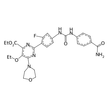 CCOC(=O)c1nc(-c2ccc(NC(=O)Nc3ccc(C(N)=O)cc3)cc2F)nc(N2CCOCC2)c1OCC